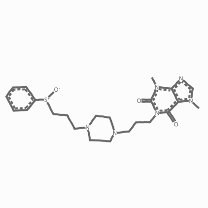 Cn1cnc2c1c(=O)n(CCCN1CCN(CCC[S+]([O-])c3ccccc3)CC1)c(=O)n2C